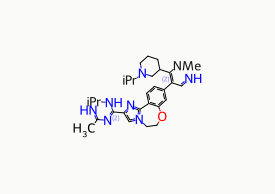 CN/C(=C(\C=N)c1ccc2c(c1)OCCn1cc(/C(=N/C(C)=N)NC(C)C)nc1-2)C1CCCN(C(C)C)C1